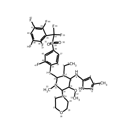 CCN1C(Nc2cc(C)n[nH]2)C(OC)C(N2CCOCC2)N(C)C1Sc1ccc(S(=O)(=O)C(F)(F)c2c(F)c(F)cc(F)c2F)cc1F